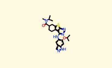 CC(C)Oc1cc2[nH]ncc2cc1Nc1ncnc2sc3c(c12)CCC(C(=O)N(C)C(C)C)C3